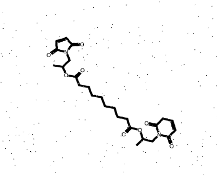 CC(CN1C(=O)C=CC1=O)OC(=O)CCCCCCCCC(=O)OC(C)CN1C(=O)C=CCC1=O